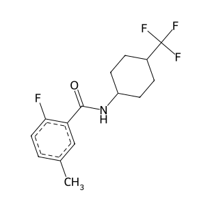 Cc1ccc(F)c(C(=O)NC2CCC(C(F)(F)F)CC2)c1